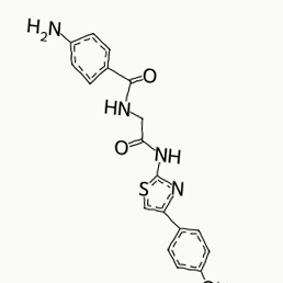 Nc1ccc(C(=O)NCC(=O)Nc2nc(-c3ccc(O)cc3)cs2)cc1